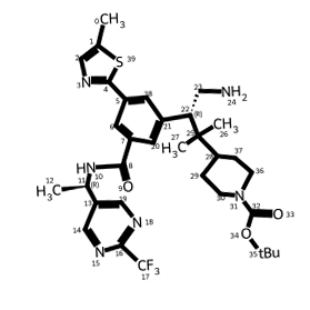 Cc1cnc(-c2cc(C(=O)N[C@H](C)c3cnc(C(F)(F)F)nc3)cc([C@H](CN)C(C)(C)C3CCN(C(=O)OC(C)(C)C)CC3)c2)s1